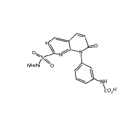 CNS(=O)(=O)c1ncc2ccc(=O)n(-c3cccc(NC(=O)O)c3)c2n1